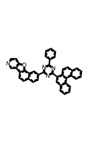 c1ccc(-c2nc(-c3ccc4ccc5c6cnccc6oc5c4c3)nc(-c3cc4ccccc4c4c3ccc3ccccc34)n2)cc1